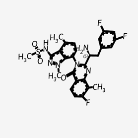 Cc1c(F)ccc2c(=O)n(-c3ccc(C)c4c(NS(C)(=O)=O)nn(C)c34)c([C@@H](N)Cc3cc(F)cc(F)c3)nc12